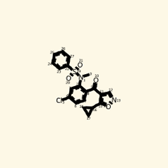 CN(c1cc(Cl)ccc1C(=O)c1cnoc1C1CC1)S(=O)(=O)c1ccccc1